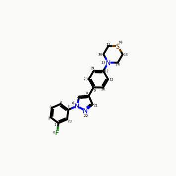 Fc1cccc(-n2cc(-c3ccc(N4CCSCC4)cc3)cn2)c1